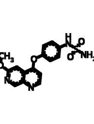 COc1cc2c(Oc3ccc(NS(N)(=O)=O)cc3)ccnc2cn1